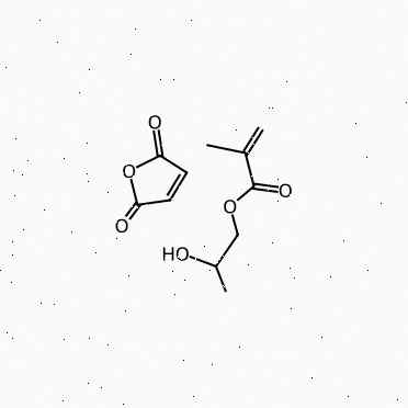 C=C(C)C(=O)OCC(C)O.O=C1C=CC(=O)O1